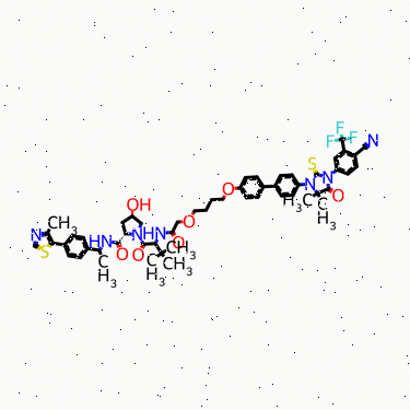 Cc1ncsc1-c1ccc(C(C)NC(=O)[C@@H]2C[C@@H](O)CN2C(=O)C(NC(=O)COCCCCOc2ccc(-c3ccc(N4C(=S)N(c5ccc(C#N)c(C(F)(F)F)c5)C(=O)C4(C)C)cc3)cc2)C(C)(C)C)cc1